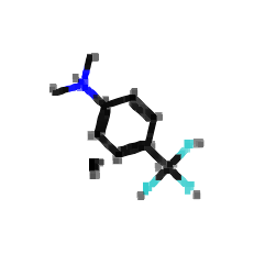 CN(C)c1ccc([B-](F)(F)F)cc1.[K+]